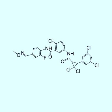 CO/N=C/c1ccc(NC(=O)c2cc(NC(=O)C3C(c4cc(Cl)cc(Cl)c4)C3(Cl)Cl)ccc2Cl)c(F)c1